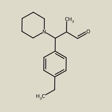 CCc1ccc(C(C(C)C=O)N2CCCCC2)cc1